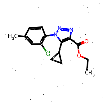 CCOC(=O)c1nnn(-c2ccc(C)cc2Cl)c1C1CC1